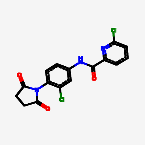 O=C(Nc1ccc(N2C(=O)CCC2=O)c(Cl)c1)c1cccc(Cl)n1